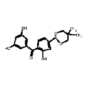 CC1(C)COB(c2ccc(C(=O)c3cc(O)cc(O)c3)c(O)c2)OC1